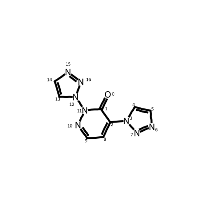 O=c1c(-n2ccnn2)ccnn1-n1ccnn1